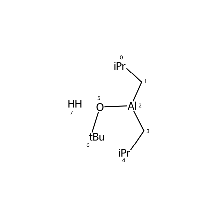 CC(C)[CH2][Al]([CH2]C(C)C)[O]C(C)(C)C.[HH]